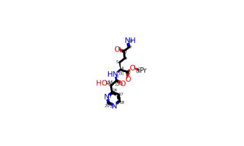 CC(C)OC(=O)[C@H](CCC(=O)C=N)NC(=O)[C@@H](O)c1ccncn1